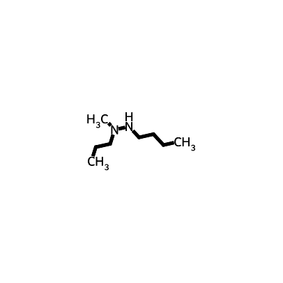 CCCCNN(C)CCC